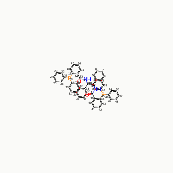 O=C(N[C@H](c1ccccc1)[C@H](NC(=O)c1ccccc1P(c1ccccc1)c1ccccc1)c1ccccc1)c1ccccc1P(c1ccccc1)c1ccccc1